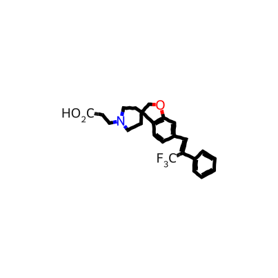 O=C(O)CCN1CCC2(CC1)COc1cc(/C=C(/c3ccccc3)C(F)(F)F)ccc12